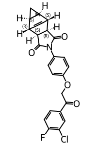 O=C(COc1ccc(N2C(=O)[C@@H]3[C@@H]4C=C[C@@H]([C@H]5C[C@@H]45)[C@@H]3C2=O)cc1)c1ccc(F)c(Cl)c1